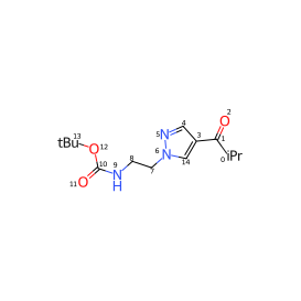 CC(C)C(=O)c1cnn(CCNC(=O)OC(C)(C)C)c1